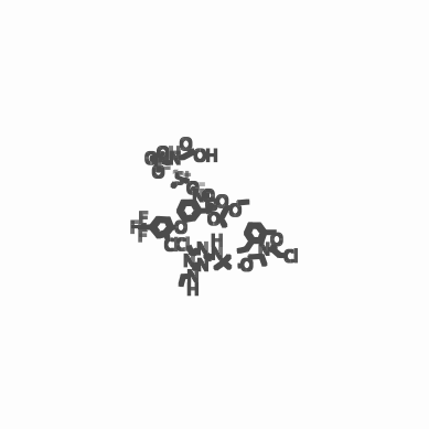 CCNc1nc(Cl)nc(NC(C)(C)C)n1.CCOC(=O)C(C)OC(=O)c1cc(Oc2ccc(C(F)(F)F)cc2Cl)ccc1[N+](=O)[O-].CCc1cccc(C)c1N(C(=O)CCl)C(C)COC.C[S+](C)C.O=C(O)CNCP(=O)([O-])O